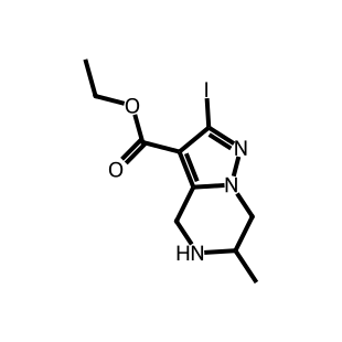 CCOC(=O)c1c(I)nn2c1CNC(C)C2